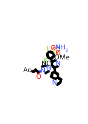 COC1N=CC(c2ccc3ncccc3c2)=C(N2CCN(C(=O)C=CC(C)=O)CC2)C1(C#N)c1cc(S(N)(=O)=O)c(F)cc1F